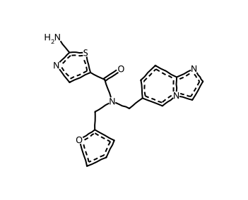 Nc1ncc(C(=O)N(Cc2ccc3nccn3c2)Cc2ccco2)s1